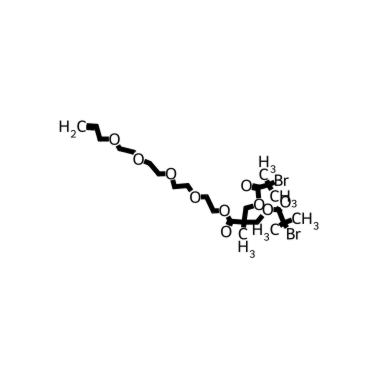 C=CCOCCOCCOCCOCCOC(=O)C(C)(COC(=O)C(C)(C)Br)COC(=O)C(C)(C)Br